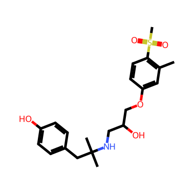 Cc1cc(OCC(O)CNC(C)(C)Cc2ccc(O)cc2)ccc1S(C)(=O)=O